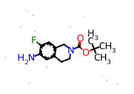 CC(C)(C)OC(=O)N1CCc2cc(N)c(F)cc2C1